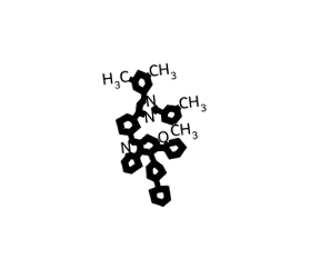 Cc1cc(C)cc(-c2cc(-c3cccc(-c4nc5ccccc5c5c(-c6ccc(-c7ccccc7)cc6)c6c(cc45)oc4ccccc46)c3)nc(-c3cc(C)cc(C)c3)n2)c1